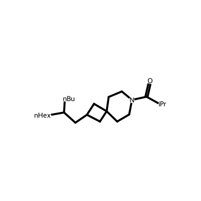 CCCCCCC(CCCC)CC1CC2(CCN(C(=O)C(C)C)CC2)C1